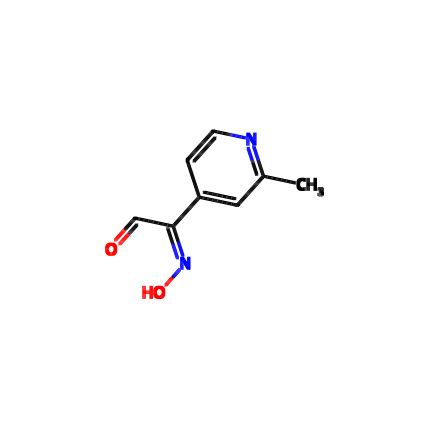 Cc1cc(C(C=O)=NO)ccn1